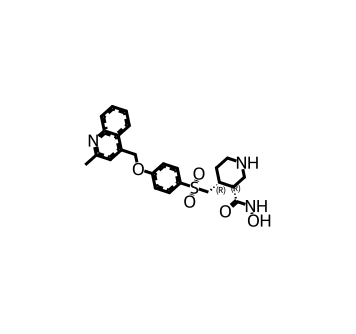 Cc1cc(COc2ccc(S(=O)(=O)C[C@@H]3CCNC[C@@H]3C(=O)NO)cc2)c2ccccc2n1